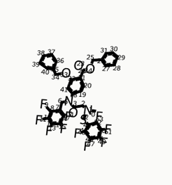 CN(CC(=O)N(Cc1c(F)c(F)c(F)c(F)c1F)c1ccc(C(=O)OCc2ccccc2)c(OCc2ccccc2)c1)Sc1c(F)c(F)c(F)c(F)c1F